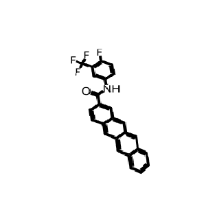 O=C(Nc1ccc(F)c(C(F)(F)F)c1)c1ccc2cc3cc4ccccc4cc3cc2c1